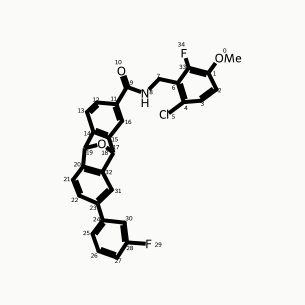 COc1ccc(Cl)c(CNC(=O)c2ccc3c(c2)C2OC3c3ccc(-c4cccc(F)c4)cc32)c1F